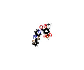 CC(C)Oc1ccc(S(C)(=O)=O)cc1C(=O)N1CCc2nc(-c3cccs3)sc2C1